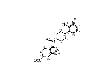 O=C(O)N1CCc2c(C(=O)N3CCC(c4cccc(F)c4Cl)CC3)n[nH]c2C1